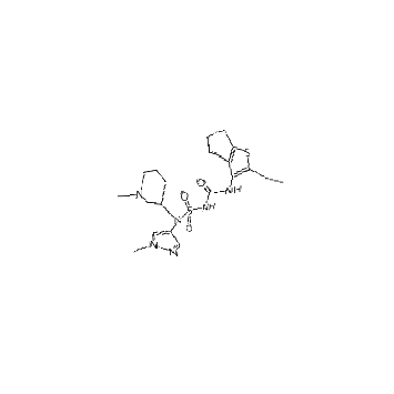 CCc1sc2c(c1NC(=O)NS(=O)(=O)N(c1cnn(C)c1)C1CCCN(C)C1)CCC2